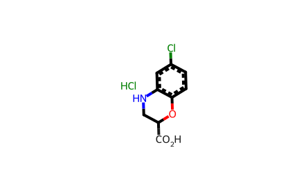 Cl.O=C(O)C1CNc2cc(Cl)ccc2O1